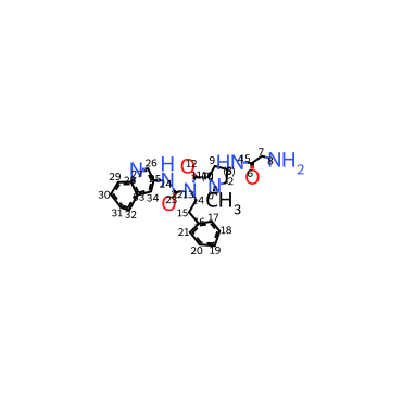 CN1C[C@@H](NC(=O)CN)C[C@@H]1C(=O)N(CCc1ccccc1)C(=O)Nc1cnc2ccccc2c1